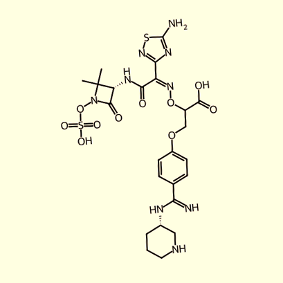 CC1(C)[C@H](NC(=O)/C(=N\OC(COc2ccc(C(=N)N[C@H]3CCCNC3)cc2)C(=O)O)c2nsc(N)n2)C(=O)N1OS(=O)(=O)O